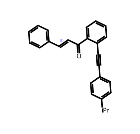 CC(C)c1ccc(C#Cc2ccccc2C(=O)/C=C/c2ccccc2)cc1